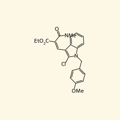 CCOC(=O)/C(=C/c1c(Cl)n(Cc2ccc(OC)cc2)c2ccccc12)C(=O)NC